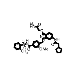 CCNC(=O)COc1nn(Cc2ccc(C(=O)NS(=O)(=O)c3ccccc3C)cc2OC)c2cc(NC(=O)CC3CCCC3)ccc12